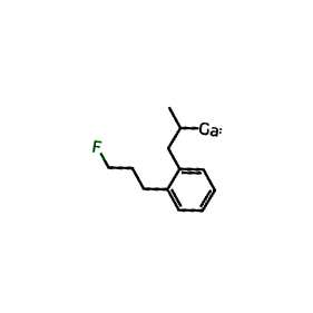 C[CH]([Ga])Cc1ccccc1CCCF